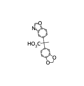 CC(C(=O)O)(c1ccc2c(c1)OCO2)c1ccc2ocnc2c1